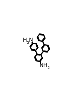 Nc1ccc(-c2ccc(N)cc2-c2cccc(-c3ccccc3)c2)cc1